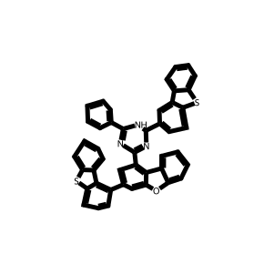 c1ccc(C2=NC(c3cc(-c4cccc5sc6ccccc6c45)cc4oc5ccccc5c34)=NC(c3ccc4sc5ccccc5c4c3)N2)cc1